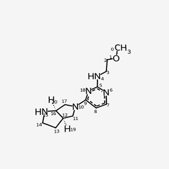 COCCNc1nccc(N2C[C@H]3CCN[C@H]3C2)n1